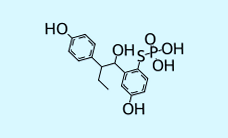 CCC(c1ccc(O)cc1)C(O)c1cc(O)ccc1SP(=O)(O)O